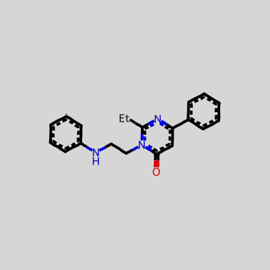 CCc1nc(-c2ccccc2)cc(=O)n1CCNc1c[c]ccc1